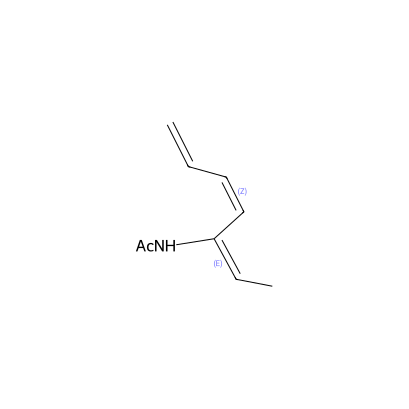 C=C/C=C\C(=C/C)NC(C)=O